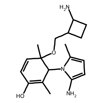 CC1=C(O)C=CC(C)(OCC2CCC2N)C1n1c(C)ccc1N